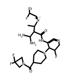 CCC(F)/C=N\C(C)C(C(=O)NC1=C=NCC(F)C1N1CCC(C(=O)N2CC(F)(F)C2)CC1)C(N)N